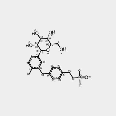 Cc1ccc([C@@H]2O[C@H](CO)[C@@H](O)[C@H](O)[C@H]2O)cc1Cc1ccc(CCP(C)(C)=O)cc1